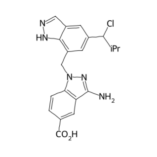 CC(C)C(Cl)c1cc(Cn2nc(N)c3cc(C(=O)O)ccc32)c2[nH]ncc2c1